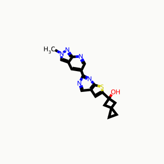 Cn1cc2cc(-c3ncc4cc(C5(O)CC6(CC6)C5)sc4n3)cnc2n1